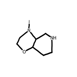 IN1CCOC2CCNCC21